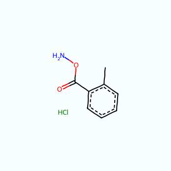 Cc1ccccc1C(=O)ON.Cl